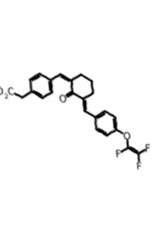 O=C(O)Cc1ccc(/C=C2/CCC/C(=C\c3ccc(OC(F)=C(F)F)cc3)C2=O)cc1